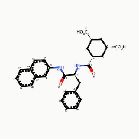 O=C(O)[C@@H]1C[C@H](C(=O)O)C[C@H](C(=O)N[C@@H](Cc2ccccc2)C(=O)Nc2ccc3ccccc3c2)C1